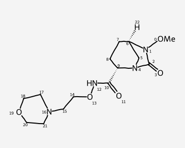 CON1C(=O)N2C[C@H]1CC[C@H]2C(=O)NOCCN1CCOCC1